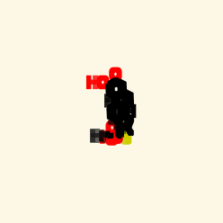 CCC(=O)O[C@]1(C(O)=S)[C@H](C)C[C@H]2[C@@H]3CCC4=CC(=O)C(O)=C[C@]4(C)[C@H]3CC[C@@]21C